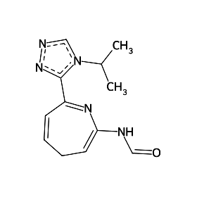 CC(C)n1cnnc1C1=NC(NC=O)=CCC=C1